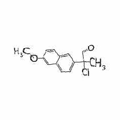 COc1ccc2cc(C(C)(Cl)C=O)ccc2c1